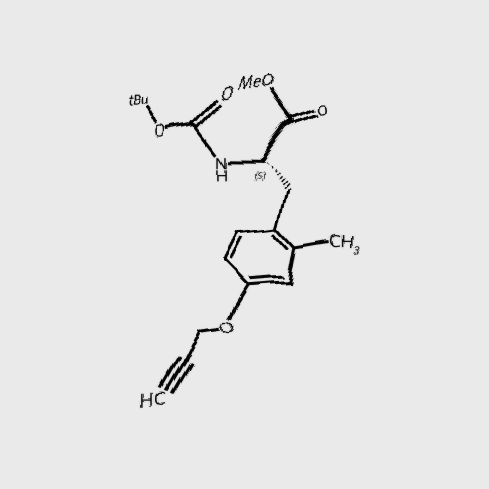 C#CCOc1ccc(C[C@H](NC(=O)OC(C)(C)C)C(=O)OC)c(C)c1